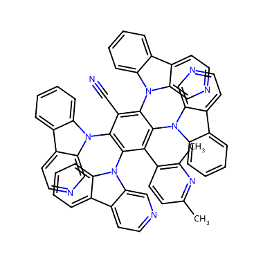 Cc1ccc(-c2c(-n3c4ccccc4c4ccncc43)c(-n3c4ccccc4c4ccncc43)c(C#N)c(-n3c4ccccc4c4ccncc43)c2-n2c3ccccc3c3ccncc32)c(C)n1